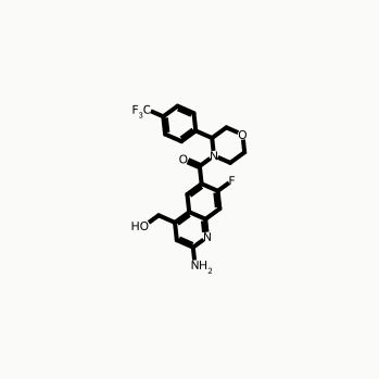 Nc1cc(CO)c2cc(C(=O)N3CCOCC3c3ccc(C(F)(F)F)cc3)c(F)cc2n1